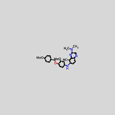 COc1ccc(COc2ccc(Nc3ccc4ncc(N(C)C)nc4c3C#N)cc2OC)cc1